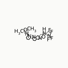 C[C@@H]1CN(c2cccc(-c3ccc4cnc(CC(=O)N[C@H]5CN(C(F)F)CC(F)(F)C5)cc4n3)n2)C[C@H](C)O1